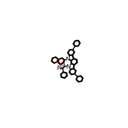 c1ccc(-c2ccc3c(c2)c2ccc4c5cc(-c6ccccc6)ccc5n(-c5sc(-c6ccccc6)nc5-c5ccccc5)c4c2n3-c2ccccc2)cc1